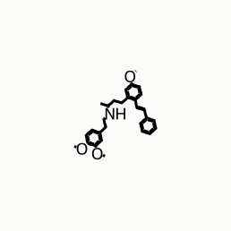 COc1ccc(C=Cc2ccccc2)c(CCC(C)NCCc2ccc(OC)c(OC)c2)c1